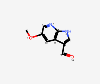 COc1cnc2[nH]cc(C=O)c2c1